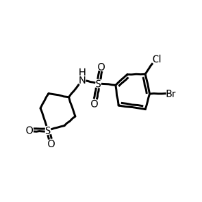 O=S1(=O)CCC(NS(=O)(=O)c2ccc(Br)c(Cl)c2)CC1